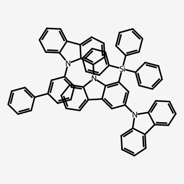 c1ccc(-c2cccc(-n3c4ccccc4c4cccc(-n5c6ccccc6c6cc(-n7c8ccccc8c8ccccc87)cc([Si](c7ccccc7)(c7ccccc7)c7ccccc7)c65)c43)c2)cc1